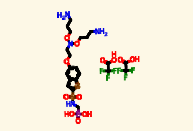 NCCCON(CCOc1ccc2sc(S(=O)(=O)NCP(=O)(O)O)cc2c1)OCCCN.O=C(O)C(F)(F)F.O=C(O)C(F)(F)F